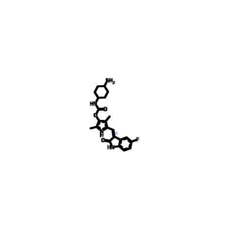 Cc1[nH]c(/C=C2\C(=O)Nc3ccc(F)cc32)c(C)c1OC(=O)NC1CCC(N)CC1